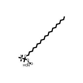 CCCCCCCCCCCCCCCCCCCCOC(C)(O[PH](=O)O)[PH](C)(C)C